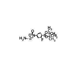 CC1(C)OB(c2ccc(N3C[C@H](CN)OC3=O)cc2F)OC1(C)C